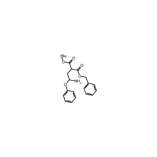 CC(C)(C)OC(=O)C(CC(N)Oc1ccccc1)C(=O)OCc1ccccc1